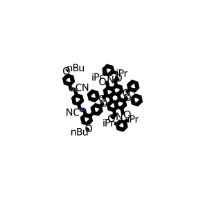 CCCCOc1ccc(/C=C(\C#N)c2ccc(/C(C#N)=C/c3ccc(OCCCC)cc3-c3ccc(Oc4cc5c6c(cc(Oc7ccccc7)c7c8c(Oc9ccccc9)cc9c%10c(cc(Oc%11ccccc%11)c(c4c67)c%108)C(=O)N(c4c(C(C)C)cccc4C(C)C)C9=O)C(=O)N(c4c(C(C)C)cccc4C(C)C)C5=O)cc3)cc2)cc1